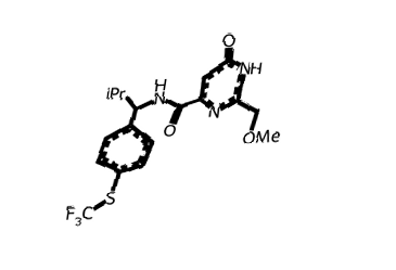 COCc1nc(C(=O)NC(c2ccc(SC(F)(F)F)cc2)C(C)C)cc(=O)[nH]1